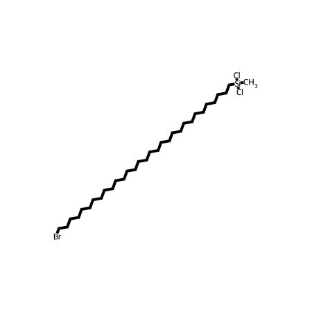 C[Si](Cl)(Cl)CCCCCCCCCCCCCCCCCCCCCCCCCCCCCCCBr